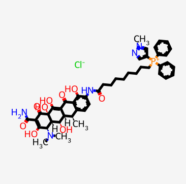 C[C@H]1c2ccc(NC(=O)CCCCCCCC[P+](c3ccccc3)(c3ccccc3)c3cnn(C)c3)c(O)c2C(=O)C2=C(O)[C@]3(O)C(=O)C(C(N)=O)=C(O)[C@@H](N(C)C)[C@@H]3[C@@H](O)[C@@H]21.[Cl-]